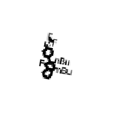 CCCCc1c(-c2ccc(OC(F)F)cc2)c(F)c2ccccc2c1CCCC